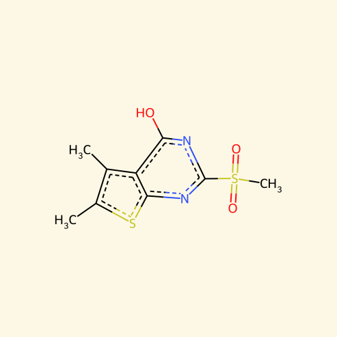 Cc1sc2nc(S(C)(=O)=O)nc(O)c2c1C